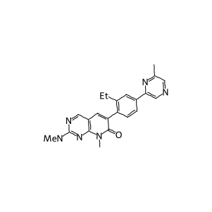 CCc1cc(-c2cncc(C)n2)ccc1-c1cc2cnc(NC)nc2n(C)c1=O